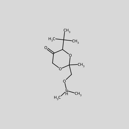 C[SiH](C)OCC1(C)OCC(=O)C(C(C)(C)C)O1